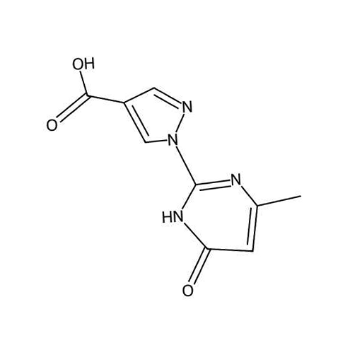 Cc1cc(=O)[nH]c(-n2cc(C(=O)O)cn2)n1